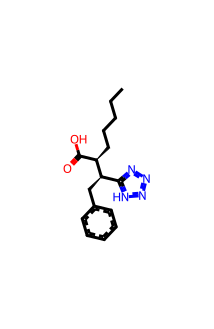 CCCCC[C@H](C(=O)O)[C@H](Cc1ccccc1)c1nnn[nH]1